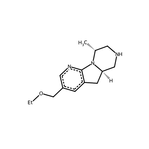 CCOCc1cnc2c(c1)C[C@@H]1CNC[C@@H](C)N21